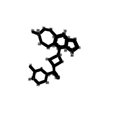 CC1CN(C(=O)C2CN(c3c4c(nc5ccnn35)CCN(C)CC4)C2)CCO1